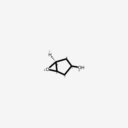 OC1CC2O[C@H]2C1